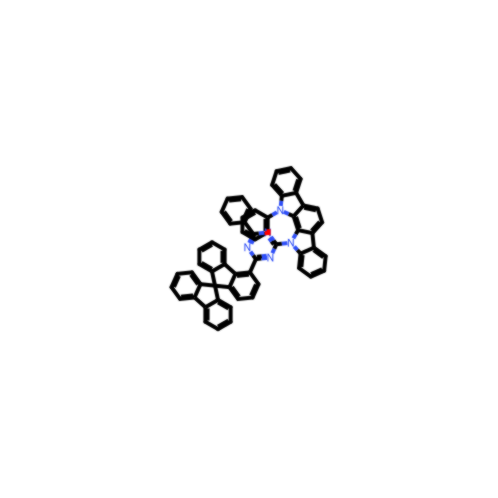 c1ccc(-c2nc(-c3cccc4c3-c3ccccc3C43c4ccccc4-c4ccccc43)nc(-n3c4ccccc4c4ccc5c6ccccc6n(-c6ccccc6)c5c43)n2)cc1